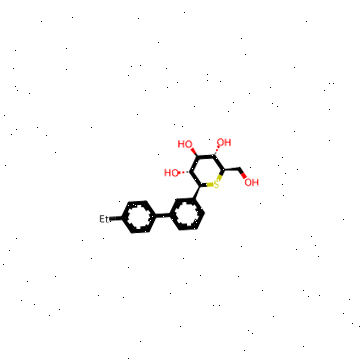 CCc1ccc(-c2cccc([C@@H]3S[C@H](CO)[C@@H](O)[C@H](O)[C@H]3O)c2)cc1